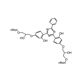 CCCCCCCCCOCC(O)COc1ccc(-c2nc(-c3ccccc3)nc(-c3ccc(OCC(O)COCCCCCCCCC)cc3O)n2)c(O)c1